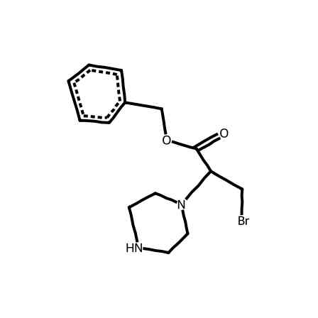 O=C(OCc1ccccc1)C(CBr)N1CCNCC1